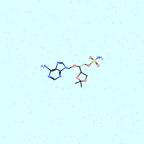 CC1(C)OCC([C@@H](COS(N)(=O)=O)OCn2cnc3c(N)ncnc32)O1